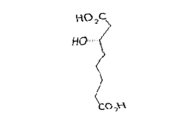 O=C(O)CCCC[C@H](O)CC(=O)O